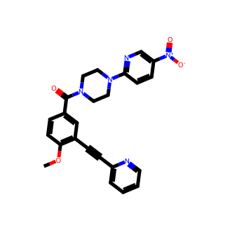 COc1ccc(C(=O)N2CCN(c3ccc([N+](=O)[O-])cn3)CC2)cc1C#Cc1ccccn1